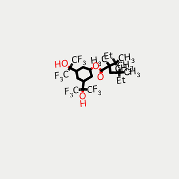 CCC(C)(C)CC(C)(C(=O)OC1CC(C(O)(C(F)(F)F)C(F)(F)F)CC(C(O)(C(F)(F)F)C(F)(F)F)C1)C(C)(C)CC